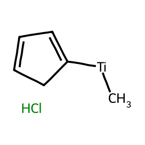 Cl.[CH3][Ti][C]1=CC=CC1